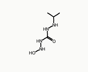 CC(C)NNC(=O)NNO